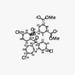 COC(=O)c1cc(C(=O)OC)cc(S(=O)(=O)OS(c2ccc(Cl)cc2)(c2ccc(Cl)cc2)c2ccc(Cl)cc2)c1